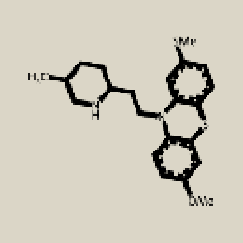 COc1ccc2c(c1)Sc1ccc(SC)cc1N2CCC1CCC(C)CN1